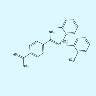 Cc1ccccc1S(=O)(=O)O.Cc1ccccc1S(=O)(=O)O.N=C(N)c1ccc(C(=N)N)cc1